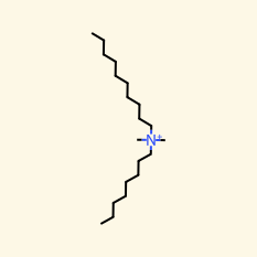 CCCCCCCCCC[N+](C)(C)CCCCCCCC